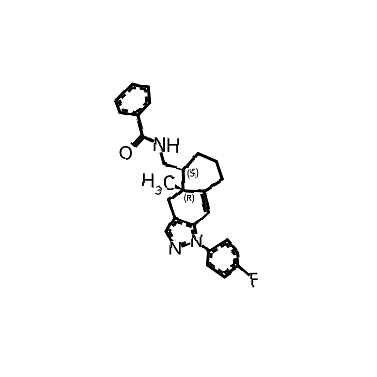 C[C@]12Cc3cnn(-c4ccc(F)cc4)c3C=C1CCC[C@@H]2CNC(=O)c1ccccc1